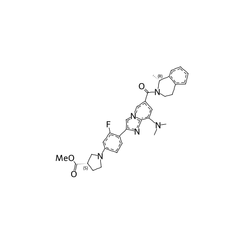 COC(=O)[C@H]1CCN(c2ccc(-c3cn4cc(C(=O)N5CCc6ccccc6[C@H]5C)cc(N(C)C)c4n3)c(F)c2)C1